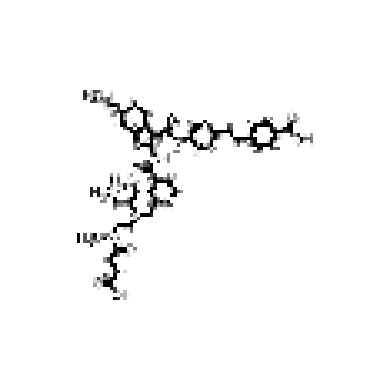 CCC(CC)N(CCN(C)C(=O)CCC(=O)O)Cc1cc(C(=O)Nc2sc3c(c2C(=O)Nc2ccc(CCc4ccc(C(=O)O)cc4)nc2)CCCC3)ccn1.Cl.Cl.Cl